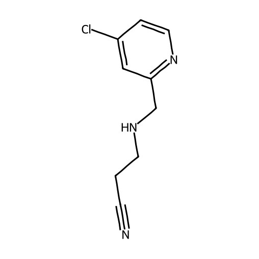 N#CCCNCc1cc(Cl)ccn1